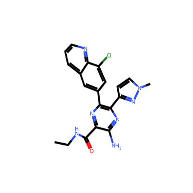 CCNC(=O)c1nc(-c2cc(Cl)c3ncccc3c2)c(-c2ccn(C)n2)nc1N